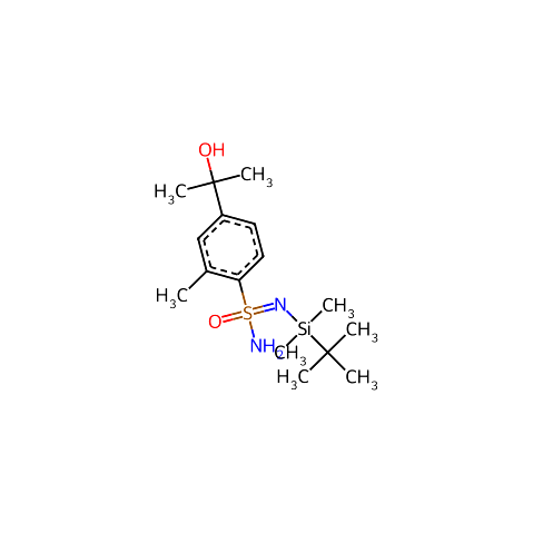 Cc1cc(C(C)(C)O)ccc1S(N)(=O)=N[Si](C)(C)C(C)(C)C